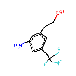 Nc1cc(CCO)cc(C(F)(F)F)c1